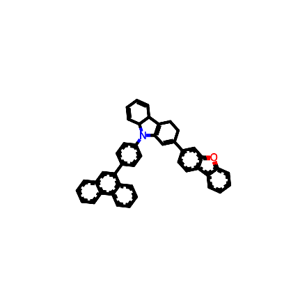 C1=CC2C3=C(C=C(c4ccc5c(c4)oc4ccccc45)CC3)N(c3ccc(-c4cc5ccccc5c5ccccc45)cc3)C2C=C1